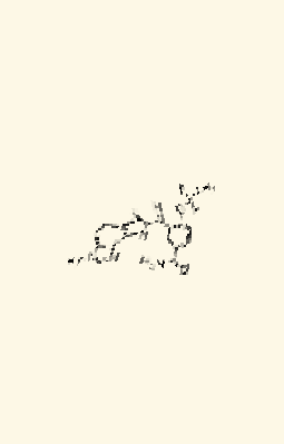 Cn1cnc2c3nc(Nc4cc(C(N)=O)ccc4OC(C)(F)F)sc3ccc21